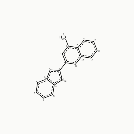 Bc1cc(-c2cn3ccccc3n2)cc2ccccc12